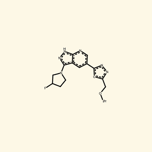 CC(C)OCc1nnc(-c2cnc3[nH]nc(N4CCC(F)C4)c3c2)o1